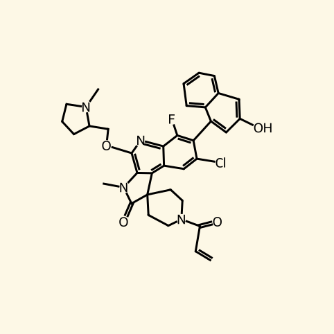 C=CC(=O)N1CCC2(CC1)C(=O)N(C)c1c(OCC3CCCN3C)nc3c(F)c(-c4cc(O)cc5ccccc45)c(Cl)cc3c12